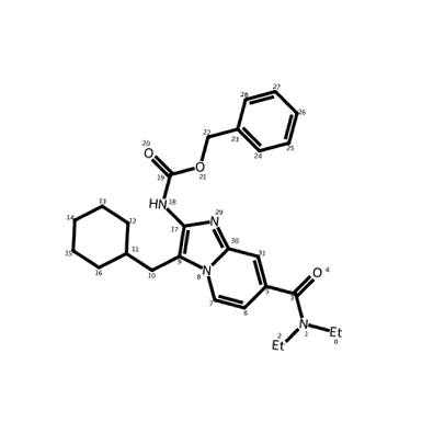 CCN(CC)C(=O)c1ccn2c(CC3CCCCC3)c(NC(=O)OCc3ccccc3)nc2c1